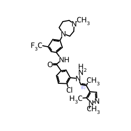 C/C(=C\N(N)c1cc(C(=O)Nc2cc(N3CCCN(C)CC3)cc(C(F)(F)F)c2)ccc1Cl)c1cnn(C)c1C